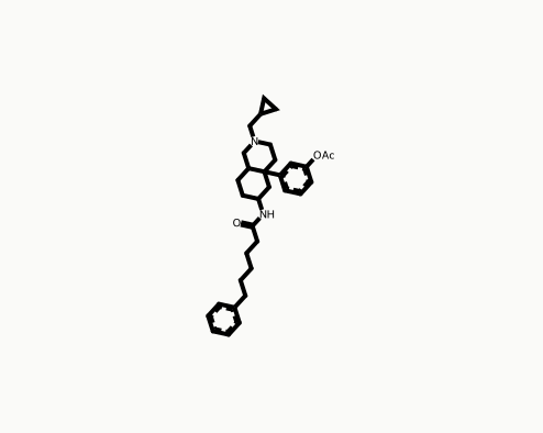 CC(=O)Oc1cccc(C23CCN(CC4CC4)CC2CCC(NC(=O)CCCCCc2ccccc2)C3)c1